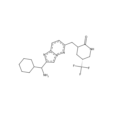 NC(c1cn2nc(CC3C[C@@H](C(F)(F)F)CNC3=O)ccc2n1)C1CCCCC1